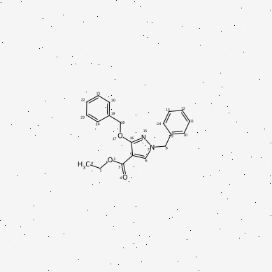 CCOC(=O)c1cn(Cc2ccccc2)nc1OCc1ccccc1